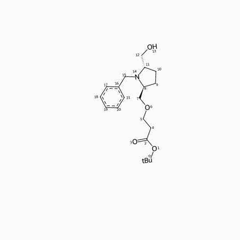 CC(C)(C)OC(=O)CCOC[C@@H]1CC[C@@H](CO)N1Cc1ccccc1